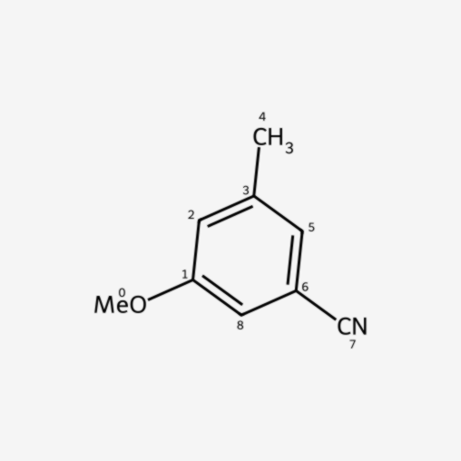 COc1cc(C)cc(C#N)c1